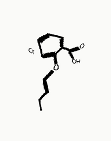 CCCCOc1ccccc1C(=O)O.[Cr]